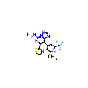 Cc1cc(-c2c(-c3nccs3)nc(N)n3ncnc23)cc(C(F)(F)F)n1